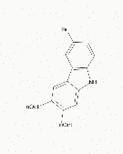 CCCCCCCCc1cc2[nH]c3ccc(Br)cc3c2cc1CCCCCCCC